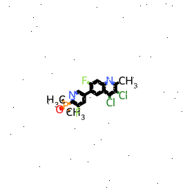 Cc1nc2cc(F)c(-c3cnc(P(C)(C)=O)c(F)c3)cc2c(Cl)c1Cl